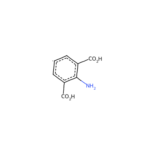 Nc1c(C(=O)O)c[c]cc1C(=O)O